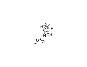 CCOC(=O)CN=C1C[C@@H]2C[C@@H](C2(C)C)[C@]1(C)O